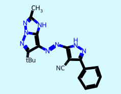 Cc1nn2nc(C(C)(C)C)c(N=Nc3[nH]nc(-c4ccccc4)c3C#N)c2[nH]1